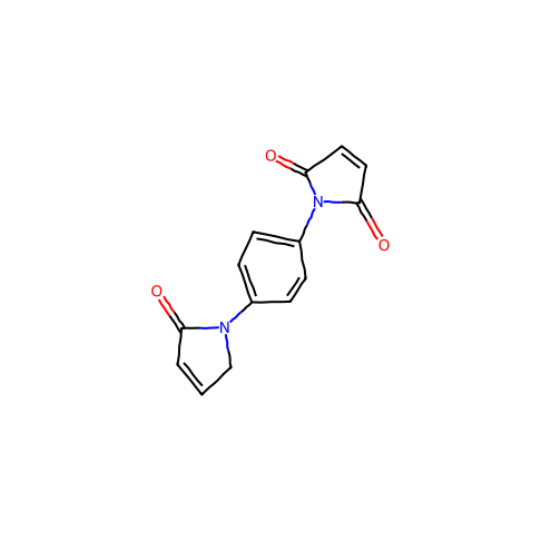 O=C1C=CCN1c1ccc(N2C(=O)C=CC2=O)cc1